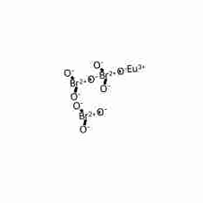 [Eu+3].[O-][Br+2]([O-])[O-].[O-][Br+2]([O-])[O-].[O-][Br+2]([O-])[O-]